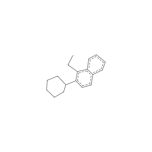 [CH2]Cc1c(C2CCCCC2)ccc2ccccc12